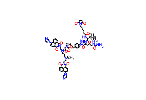 CC(C)C(NC(=O)CCCCCN1C(=O)C=CC1=O)C(=O)N[C@@H](CCCNC(N)=O)C(=O)Nc1ccc(COC(=O)N(C)CC(=O)N(CCCN(C)CCN2C(=O)c3cccc4c(-n5ccnc5)ccc(c34)C2=O)CCN2C(=O)c3cccc4c(-n5ccnc5)ccc(c34)C2=O)cc1